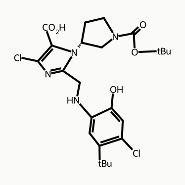 CC(C)(C)OC(=O)N1CC[C@@H](n2c(CNc3cc(C(C)(C)C)c(Cl)cc3O)nc(Cl)c2C(=O)O)C1